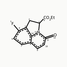 CCOC(=O)C1Cc2c(F)ccc3ccc(=O)n1c23